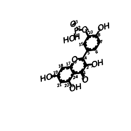 O=c1c(O)c(-c2ccc(O)c(O[PH](=O)O)c2)oc2cc(O)cc(O)c12